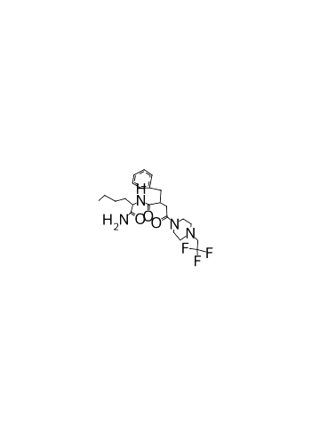 CCCCC(NC(=O)C(CC(=O)N1CCN(CC(F)(F)F)CC1)Cc1ccccc1)C(N)=O